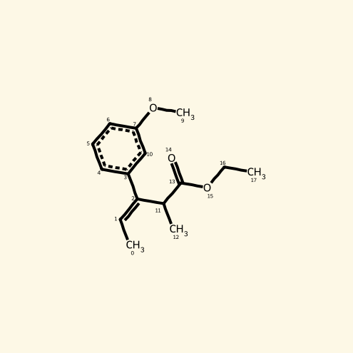 CC=C(c1cccc(OC)c1)C(C)C(=O)OCC